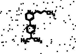 CCC=Cc1cc(-c2ccc(C(C)C)cn2)ccn1